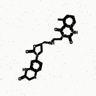 Cc1cccc2[nH]c(=O)n(CCNC[C@@H]3CN(c4ccc5c(c4)NC(=O)CS5)C(=O)O3)c(=O)c12